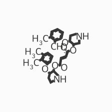 Cc1cccc(OC2CCNCC2OC(=O)/C=C/C(=O)OC2CNCCC2Oc2cccc(C)c2C)c1C